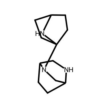 C1CC2CNC1CN2C12CCC(CC1)N2